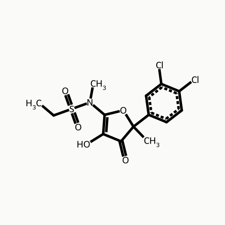 CCS(=O)(=O)N(C)C1=C(O)C(=O)C(C)(c2ccc(Cl)c(Cl)c2)O1